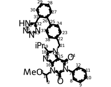 COC(C)n1c(=O)n(-c2ccccc2)c(=O)c2c1nc(C(C)C)n2Cc1ccc(-c2ccccc2-c2nnn[nH]2)cc1